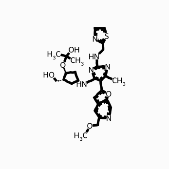 COCc1cc2cc(-c3c(C)nc(NCc4nccs4)nc3N[C@@H]3C[C@H](CO)[C@@H](OC(C)(C)O)C3)oc2cn1